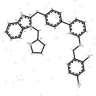 Fc1cc(Cl)ccc1COc1cccc(-c2ccc(Cc3nc4ccccc4n3CC3CCCO3)cc2)n1